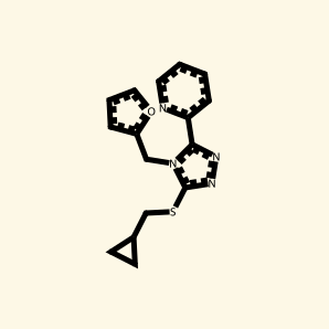 c1ccc(-c2nnc(SCC3CC3)n2Cc2ccco2)nc1